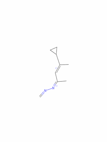 C=N/N=C(C)\C=C(/C)C1CC1